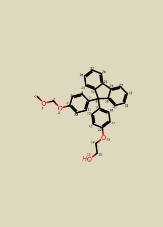 COCOc1ccc(C2(c3ccc(OCCO)cc3)c3ccccc3-c3ccccc32)cc1